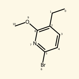 CCc1ccc(Br)nc1OC